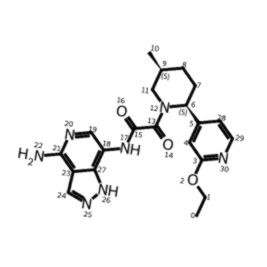 CCOc1cc([C@@H]2CC[C@H](C)CN2C(=O)C(=O)Nc2cnc(N)c3cn[nH]c23)ccn1